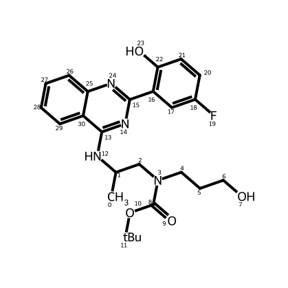 CC(CN(CCCO)C(=O)OC(C)(C)C)Nc1nc(-c2cc(F)ccc2O)nc2ccccc12